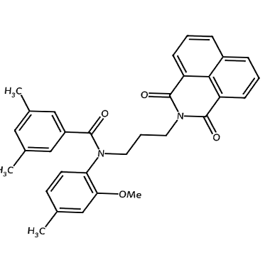 COc1cc(C)ccc1N(CCCN1C(=O)c2cccc3cccc(c23)C1=O)C(=O)c1cc(C)cc(C)c1